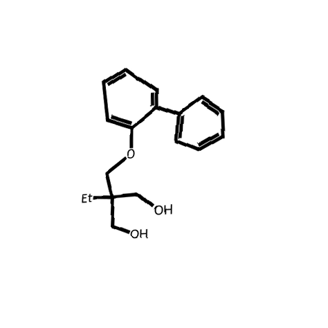 CCC(CO)(CO)COc1ccccc1-c1ccccc1